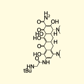 CN(C)c1cc(NC(=O)CNC(C)(C)C)c(O)c2c1C[C@@H]1C[C@@H]3[C@@H](N(C)C)C(O)=C(C(N)=O)C(=O)[C@]3(O)C(O)=C1C2=O